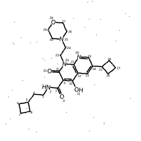 O=C(NCCC1CCC1)c1c(O)c2cc(C3CCC3)cnc2n(CCN2CCOCC2)c1=O